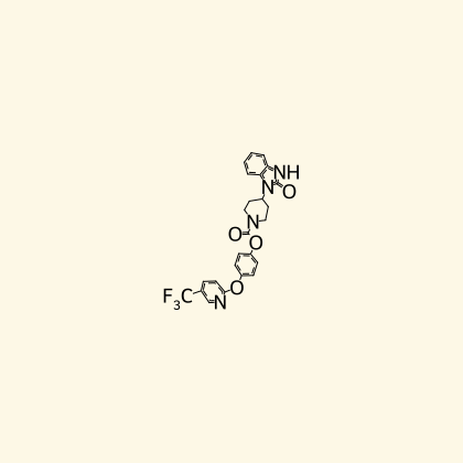 O=C(Oc1ccc(Oc2ccc(C(F)(F)F)cn2)cc1)N1CCC(n2c(=O)[nH]c3ccccc32)CC1